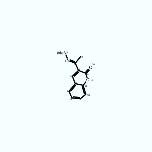 CNN=C(C)c1cc2ccccc2oc1=O